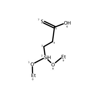 CCO[SiH](CCC(O)=S)OCC